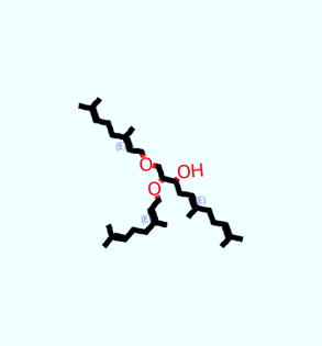 CC(C)=CCC/C(C)=C/COCC(OC/C=C(\C)CCC=C(C)C)C(O)C/C=C(\C)CCC=C(C)C